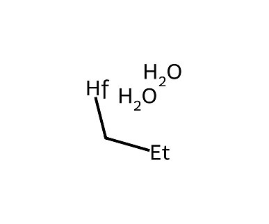 CC[CH2][Hf].O.O